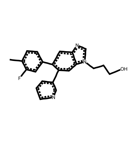 Cc1ccc(-c2cc3ncn(CCCO)c3cc2-c2cccnc2)cc1F